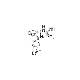 CCNc1nc(-c2csc(NC(=N)N)n2)c[nH]1.Cl.Cl